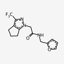 O=C(Cn1nc(C(F)(F)F)c2c1CCC2)NCc1ccco1